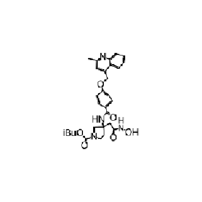 Cc1cc(COc2ccc(C(=O)NC3(CC(=O)NO)CCN(C(=O)OCC(C)C)C3)cc2)c2ccccc2n1